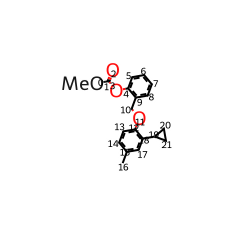 COC(=O)Oc1ccccc1COc1ccc(C)cc1C1CC1